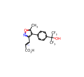 Cc1onc(/C=C/C(=O)O)c1-c1ccc(C(O)(C(F)(F)F)C(F)(F)F)cc1